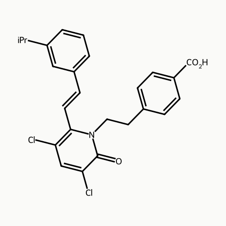 CC(C)c1cccc(C=Cc2c(Cl)cc(Cl)c(=O)n2CCc2ccc(C(=O)O)cc2)c1